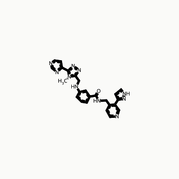 Cn1c(CNc2cccc(C(=O)NCc3ccncc3-c3cc[nH]n3)c2)nnc1-c1ccncn1